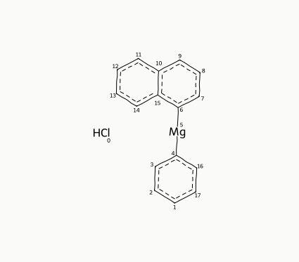 Cl.c1cc[c]([Mg][c]2cccc3ccccc23)cc1